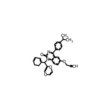 C#CCOc1ccc2c(c1)c(-c1ccc(C(C)C)cc1)nc(=O)n2C(C1=CC=CCC1)C1=COC=CO1